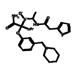 CCCC(Oc1cccc(CN2CCCCC2)c1)(C(N)=O)[S+]([O-])C(C)NC(=O)Cc1cccs1